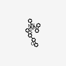 c1ccc(-c2nc(-c3cccc4c3sc3cc(-c5ccc6c(c5)oc5ccccc56)ccc34)nc(-n3c4ccccc4c4ccccc43)n2)cc1